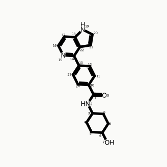 O=C(NC1CCC(O)CC1)c1ccc(-c2nccc3[nH]ccc23)cc1